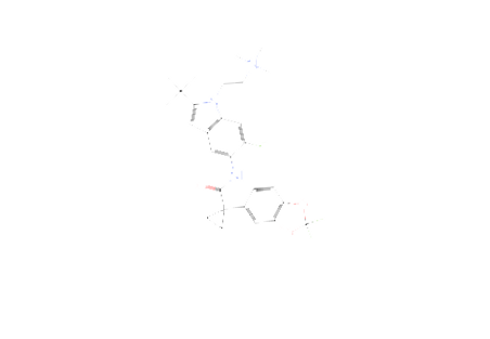 CC(C)(C)c1cc2cc(NC(=O)C3(c4ccc5c(c4)OC(F)(F)O5)CC3)c(F)cc2n1CC[N+](C)(C)C